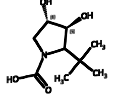 CC(C)(C)C1[C@H](O)[C@@H](O)CN1C(=O)O